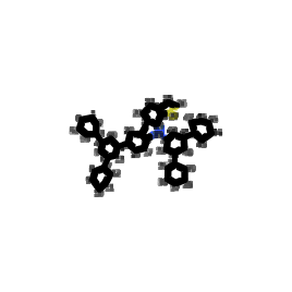 c1ccc(-c2cc(-c3ccccc3)cc(-c3ccc4c(c3)c3ccc5ccsc5c3n4-c3cc(-c4ccccc4)cc(-c4ccccc4)c3)c2)cc1